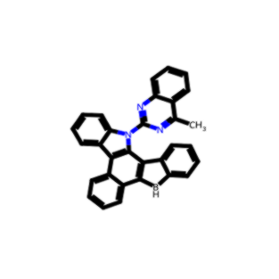 Cc1nc(-n2c3ccccc3c3c4ccccc4c4c(c32)-c2ccccc2B4)nc2ccccc12